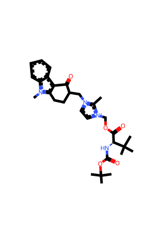 Cc1n(CC2CCc3c(c4ccccc4n3C)C2=O)cc[n+]1COC(=O)[C@@H](NC(=O)OC(C)(C)C)C(C)(C)C